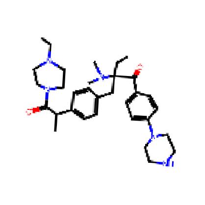 CCN1CCN(C(=O)C(C)c2ccc(CC(CC)(C(=O)c3ccc(N4CCNCC4)cc3)N(C)C)cc2)CC1